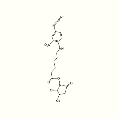 [N-]=[N+]=Nc1ccc(NCCCCCC(=O)ON2C(=O)CC(S)C2=O)c([N+](=O)[O-])c1